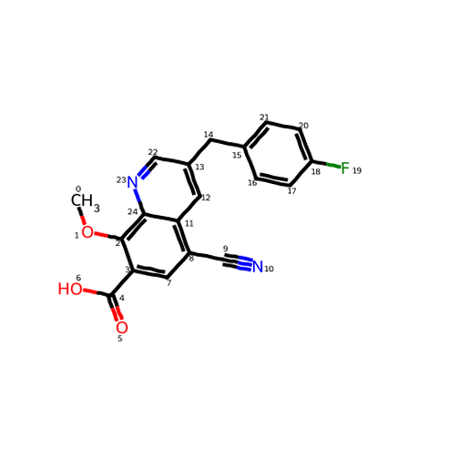 COc1c(C(=O)O)cc(C#N)c2cc(Cc3ccc(F)cc3)cnc12